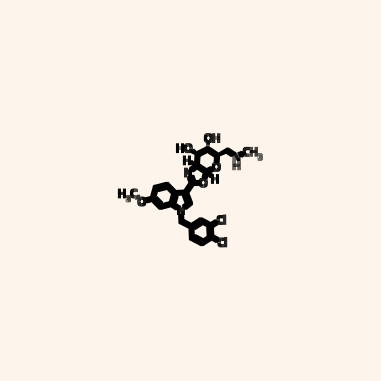 CNC[C@H]1O[C@@H]2OC(c3cn(Cc4ccc(Cl)c(Cl)c4)c4cc(OC)ccc34)=N[C@@H]2[C@@H](O)[C@@H]1O